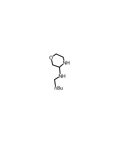 CCCCCNC1COCCN1